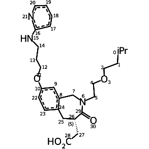 CC(C)CCOCCN1Cc2cc(OCCCNc3ccccn3)ccc2C[C@@H](CC(=O)O)C1=O